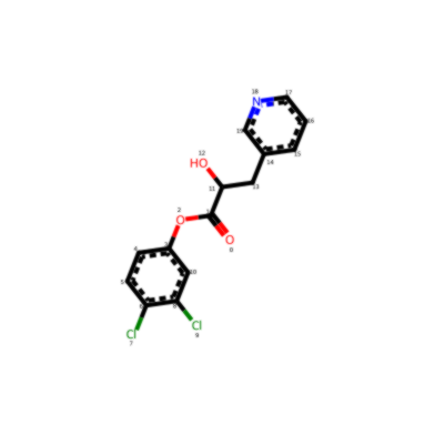 O=C(Oc1ccc(Cl)c(Cl)c1)C(O)Cc1cccnc1